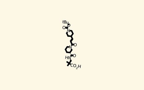 CC(C)(C)OC(=O)N1CCC(/C=C/C(=O)N2CCC[C@@H](C(=O)NCC(C)(C)C(=O)O)C2)CC1